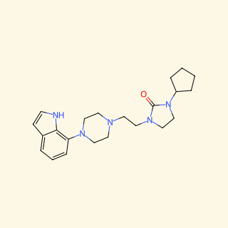 O=C1N(CCN2CCN(c3cccc4cc[nH]c34)CC2)CCN1C1CCCC1